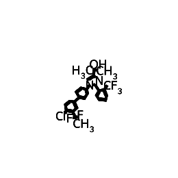 CC(C)(O)c1cn(-c2ccc(-c3ccc(Cl)c(C(C)(F)F)c3)cc2)c(-c2ccccc2C(F)(F)F)n1